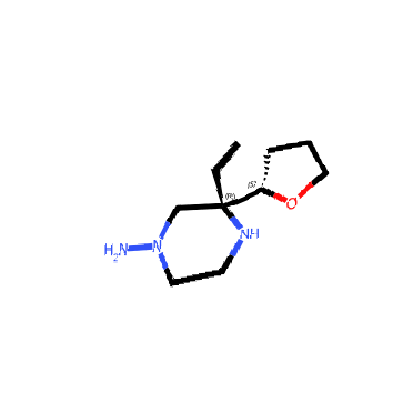 CC[C@]1([C@@H]2CCCO2)CN(N)CCN1